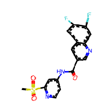 CS(=O)(=O)c1cc(NC(=O)c2cnc3cc(F)c(F)cc3c2)ccn1